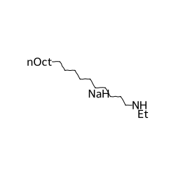 CCCCCCCCCCCCCCCCCCNCC.[NaH]